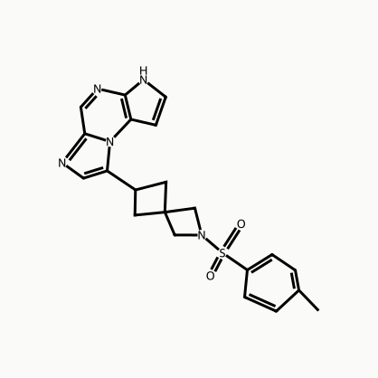 Cc1ccc(S(=O)(=O)N2CC3(CC(c4cnc5cnc6[nH]ccc6n45)C3)C2)cc1